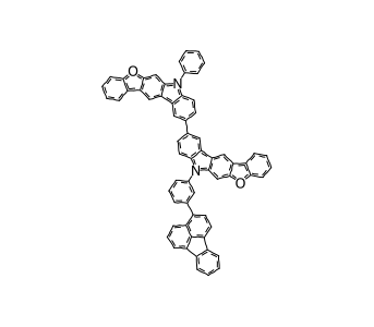 c1ccc(-n2c3ccc(-c4ccc5c(c4)c4cc6c(cc4n5-c4cccc(-c5ccc7c8c(cccc58)-c5ccccc5-7)c4)oc4ccccc46)cc3c3cc4c(cc32)oc2ccccc24)cc1